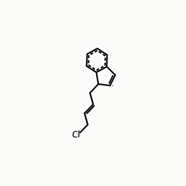 ClC/C=C/CC1[C]=Cc2ccccc21